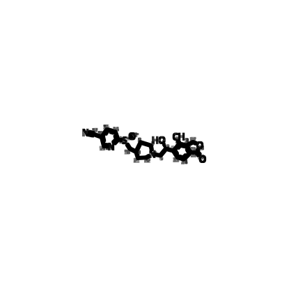 Cc1c([C@H](O)CN2CCC(C[S+]([O-])c3ccc(C#N)cn3)CC2)ccc2c1COC2=O